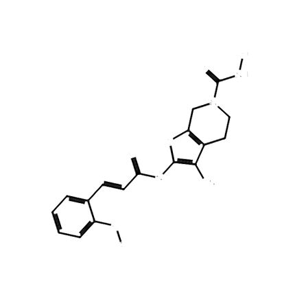 CCNC(=O)N1CCc2c(sc(NC(=O)C=Cc3ccccc3OCC)c2C#N)C1